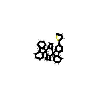 c1csc(-c2ccc3c(c2)C2(c4ccccc4-3)c3ccccc3C3(c4ccccc4-c4ccccc43)c3ccccc32)c1